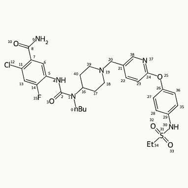 CCCCN(C(=O)Nc1cc(C(N)=O)c(Cl)cc1F)C1CCN(Cc2ccc(Oc3ccc(NS(=O)(=O)CC)cc3)nc2)CC1